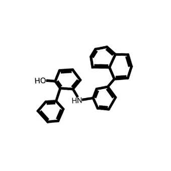 Oc1cccc(Nc2cccc(-c3cccc4ccccc34)c2)c1-c1ccccc1